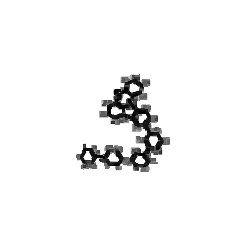 c1ccc(-c2ccc(-c3cccc(-c4cccc(-c5ccc6c(c5)c5cccc7c5n6-c5ccccc5S7)c4)c3)cc2)cc1